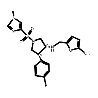 Cn1cnc(S(=O)(=O)N2C[C@H](NCc3ccc(C(F)(F)F)o3)[C@@H](c3ccc(F)cc3)C2)c1